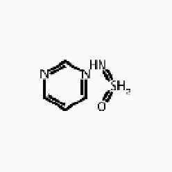 N=[SH2]=O.c1cncnc1